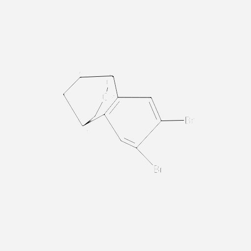 Brc1cc2c(cc1Br)C1CCCC2CC1